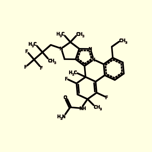 CCc1cccc2c1-n1nc3c(c1C1(C)C(F)=CC(C)(NC(N)=O)C(F)=C21)CN(CC(C)(C)C(F)(F)F)C3(C)C